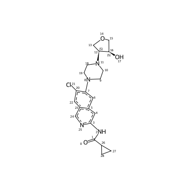 O=C(Nc1cc2cc(N3CCN([C@H]4COC[C@H]4O)CC3)c(Cl)cc2cn1)C1CC1